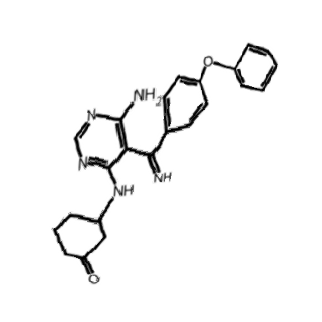 N=C(c1ccc(Oc2ccccc2)cc1)c1c(N)ncnc1NC1CCCC(=O)C1